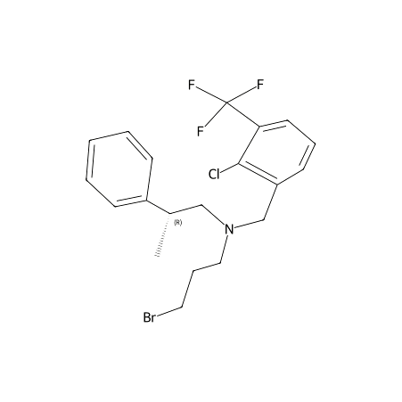 C[C@@H](CN(CCCBr)Cc1cccc(C(F)(F)F)c1Cl)c1ccccc1